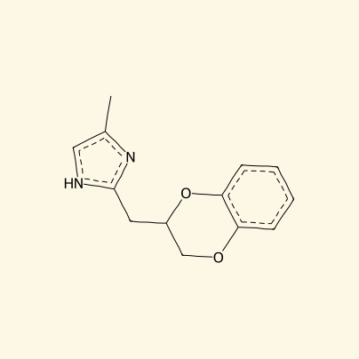 Cc1c[nH]c(CC2COc3ccccc3O2)n1